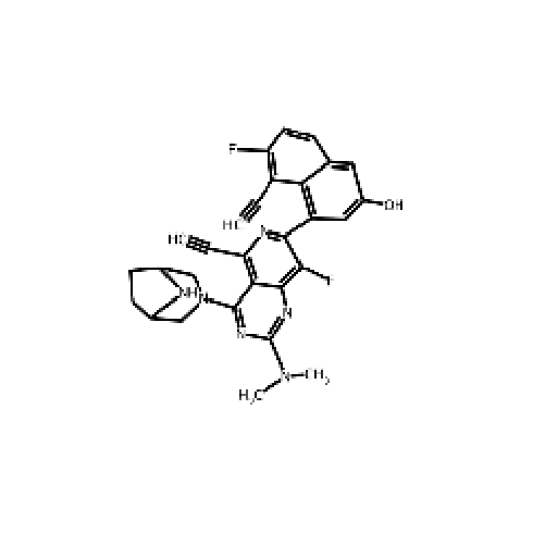 C#Cc1c(F)ccc2cc(O)cc(-c3nc(C#C)c4c(N5CC6CCC(C5)N6)nc(N(C)C)nc4c3F)c12